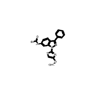 CC(C)(C)C(=O)Nc1ccc2c(-c3ccccc3)nn(-c3nc(OC=O)cs3)c2c1